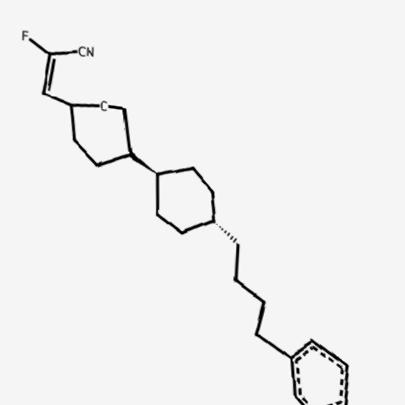 CCc1ccc(CCCC[C@H]2CC[C@H](C3CCC(/C=C(/F)C#N)CC3)CC2)cc1